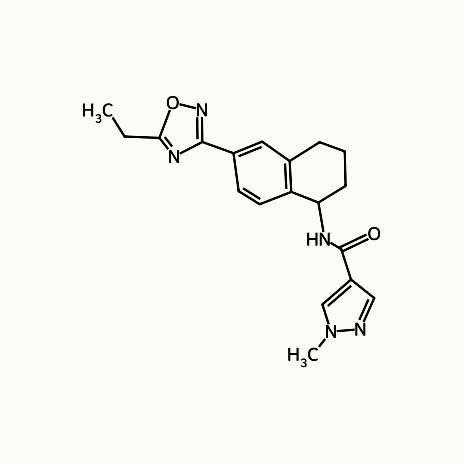 CCc1nc(-c2ccc3c(c2)CCCC3NC(=O)c2cnn(C)c2)no1